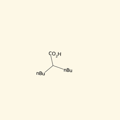 [CH2]CCCC(CCCC)C(=O)O